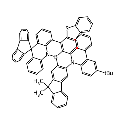 CC(C)(C)c1ccc(N2c3cc4c(cc3B3c5c2cc2c(sc6ccccc62)c5-c2cccc5c2N3c2ccccc2C52c3ccccc3-c3ccccc32)C(C)(C)c2ccccc2-4)c(-c2ccccc2)c1